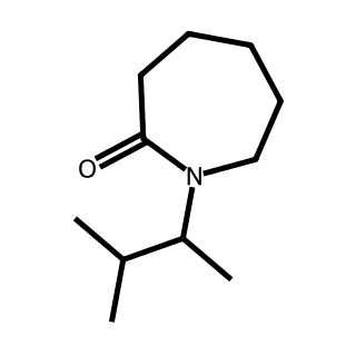 CC(C)C(C)N1CCCCCC1=O